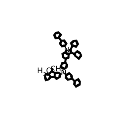 CC1(C)c2ccccc2-c2ccc(N(c3ccc(-c4ccccc4)cc3)c3ccc(-c4ccc5c(c4)c(-c4ccccc4)c(-c4ccccc4)n5-c4ccc(-c5ccccc5)cc4)cc3)cc21